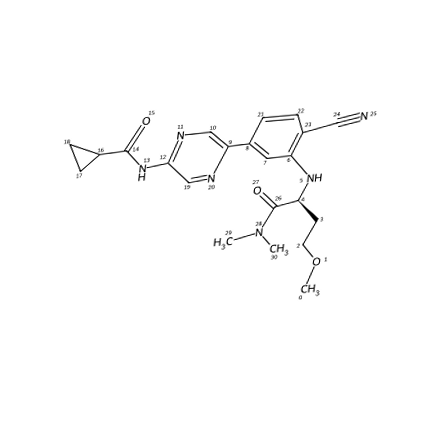 COCC[C@H](Nc1cc(-c2cnc(NC(=O)C3CC3)cn2)ccc1C#N)C(=O)N(C)C